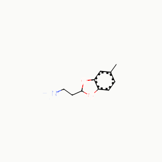 Cc1ccc2c(c1)OC(CCN)O2